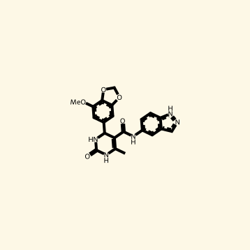 COc1cc(C2NC(=O)NC(C)=C2C(=O)Nc2ccc3[nH]ncc3c2)cc2c1OCO2